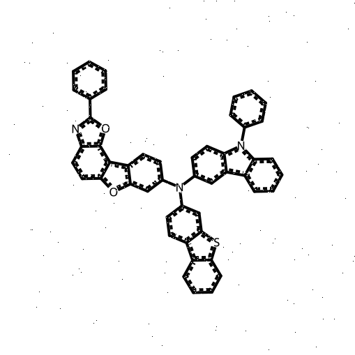 c1ccc(-c2nc3ccc4oc5cc(N(c6ccc7c(c6)sc6ccccc67)c6ccc7c(c6)c6ccccc6n7-c6ccccc6)ccc5c4c3o2)cc1